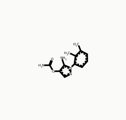 Cc1cccc(-n2ncc(OC(N)=O)c2N)c1C